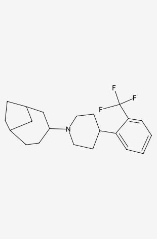 FC(F)(F)c1ccccc1C1CCN(C2CCC3CCC(C3)C2)CC1